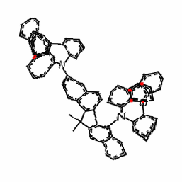 CC1(C)c2cc3ccccc3c(N(c3ccccc3-c3ccccc3)c3cccc4c3oc3ccccc34)c2-c2ccc3cc(N(c4ccccc4-c4ccccc4)c4cccc5c4oc4ccccc45)ccc3c21